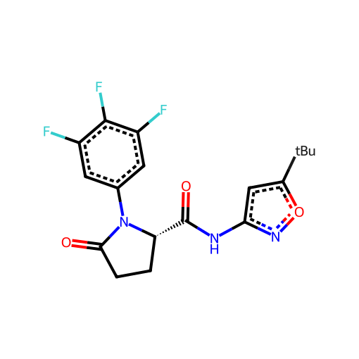 CC(C)(C)c1cc(NC(=O)[C@@H]2CCC(=O)N2c2cc(F)c(F)c(F)c2)no1